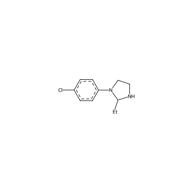 CCC1NCCN1c1ccc(Cl)cc1